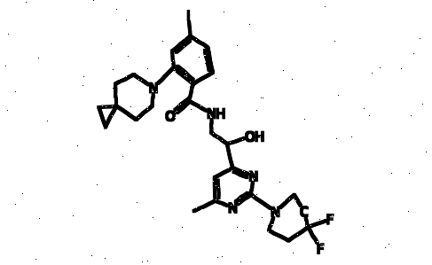 Cc1cc(C(O)CNC(=O)c2ccc(I)cc2N2CCC3(CC2)CC3)nc(N2CCC(F)(F)CC2)n1